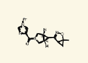 CC(C)n1cnc(C(=O)N2C[C@@H]3C(C4=NOC5(C)CC45)[C@@H]3C2)c1